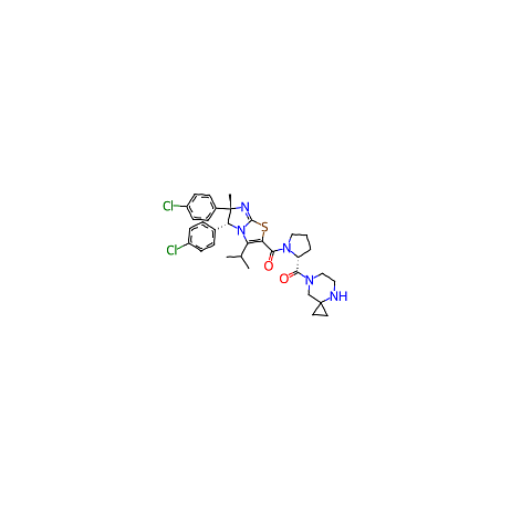 CC(C)C1=C(C(=O)N2CCC[C@@H]2C(=O)N2CCNC3(CC3)C2)SC2=N[C@@](C)(c3ccc(Cl)cc3)[C@@H](c3ccc(Cl)cc3)N21